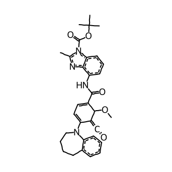 COC1C(=C=O)C(N2CCCCc3ccccc32)=CC=C1C(=O)Nc1cccc2c1nc(C)n2C(=O)OC(C)(C)C